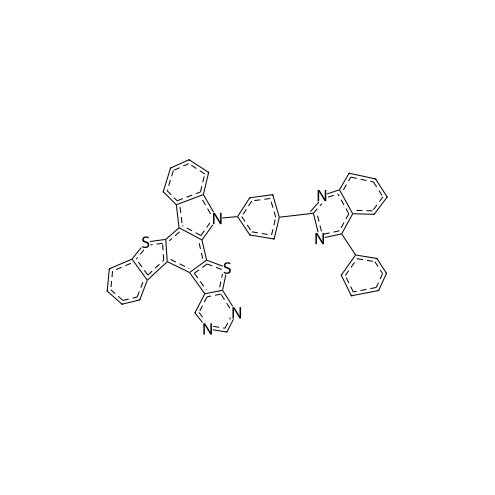 c1ccc(-c2nc(-c3ccc(-n4c5ccccc5c5c6sc7ccccc7c6c6c7cncnc7sc6c54)cc3)nc3ccccc23)cc1